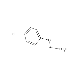 O=C(O)[CH]Oc1ccc(Cl)cc1